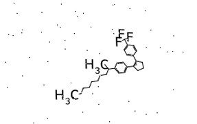 CCCCCCCCC(C)c1ccc(C2=C(c3ccc(C(F)(F)F)cc3)CCC2)cc1